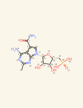 Cc1nc(N)c2c(C(N)=O)cn([C@@H]3O[C@H](CP(=O)(O)O)[C@@H](O)[C@H]3O)c2n1